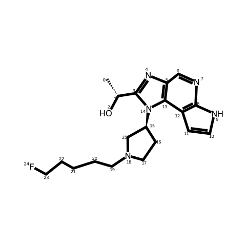 C[C@@H](O)c1nc2cnc3[nH]ccc3c2n1[C@H]1CCN(CCCCCF)C1